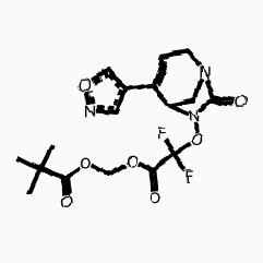 CC(C)(C)C(=O)OCOC(=O)C(F)(F)ON1C(=O)N2CC=C(c3cnoc3)C1C2